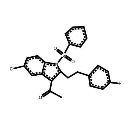 CC(=O)c1c(CCc2ccc(F)cc2)n(S(=O)(=O)c2ccccc2)c2ccc(Cl)cc12